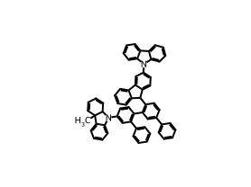 CC12C=CC=CC1N(c1ccc(-c3cc(-c4ccccc4)ccc3C3c4ccccc4-c4cc(-n5c6ccccc6c6ccccc65)ccc43)c(-c3ccccc3)c1)c1ccccc12